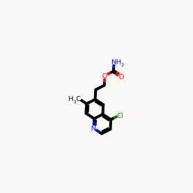 Cc1cc2nccc(Cl)c2cc1CCOC(N)=O